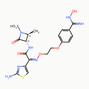 C[C@H]1[C@H](NC(=O)C(=NOCCOc2ccc(C(=N)NO)cc2)c2csc(N)n2)C(=O)N1S(=O)(=O)O